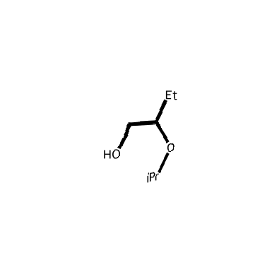 CCC(CO)OC(C)C